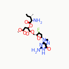 CC[C@H](C)[C@H](N)C(=O)OC(CC(=O)OC)C(=O)OC[C@H]1O[C@@H](n2cnc3c(=O)[nH]c(N)nc32)CC1F